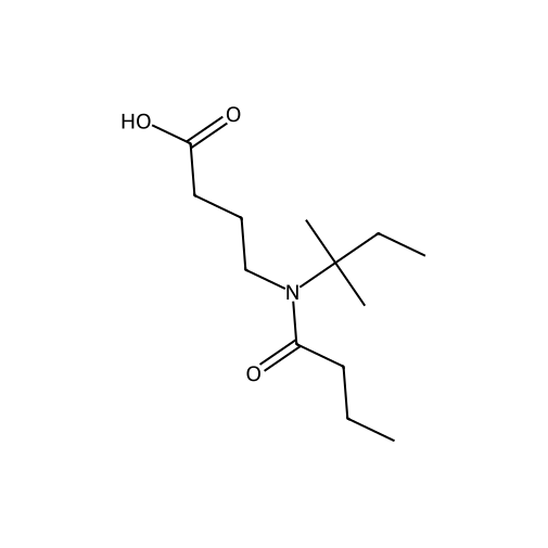 CCCC(=O)N(CCCC(=O)O)C(C)(C)CC